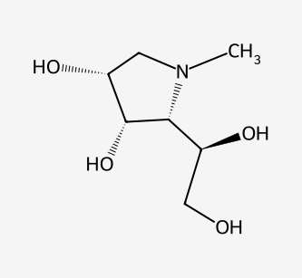 CN1C[C@@H](O)[C@@H](O)[C@H]1[C@@H](O)CO